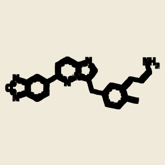 C=c1ccc(Cc2cnc3ccc(-c4ccc5nonc5c4)nn23)c/c1=C/C=C\N